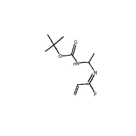 C=C/C(F)=N\C(C)NC(=O)OC(C)(C)C